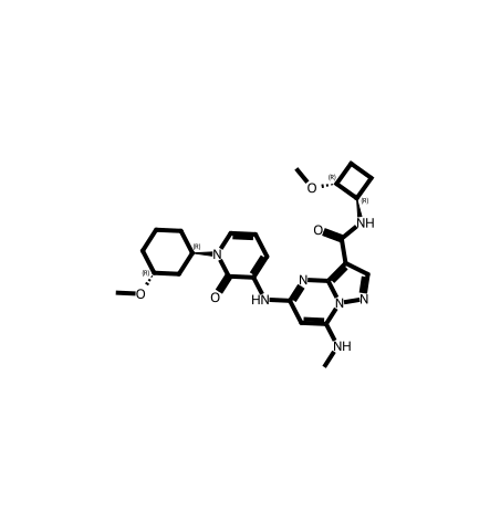 CNc1cc(Nc2cccn([C@@H]3CCC[C@@H](OC)C3)c2=O)nc2c(C(=O)N[C@@H]3CC[C@H]3OC)cnn12